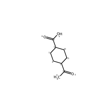 CC(=O)C1CCC(C(=O)O)CC1